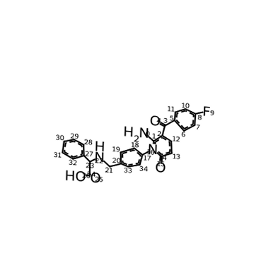 Nc1c(C(=O)c2ccc(F)cc2)ccc(=O)n1-c1ccc(CNC(C(=O)O)c2ccccc2)cc1